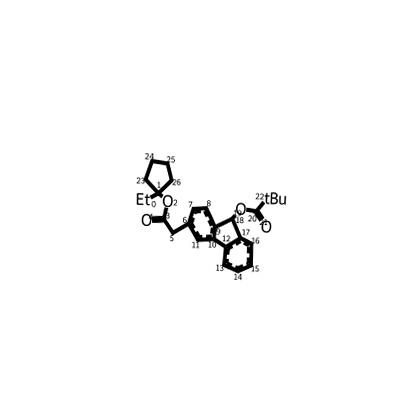 CCC1(OC(=O)Cc2ccc3c(c2)-c2ccccc2C3OC(=O)C(C)(C)C)CCCC1